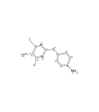 Cc1nc(Sc2ccc(N)cc2)nc(C)c1Cl